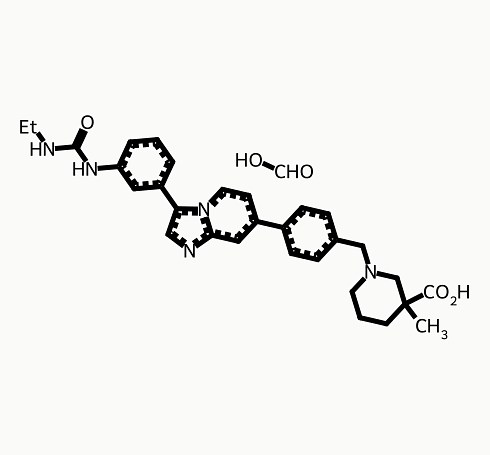 CCNC(=O)Nc1cccc(-c2cnc3cc(-c4ccc(CN5CCCC(C)(C(=O)O)C5)cc4)ccn23)c1.O=CO